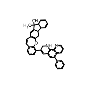 CC1(C)C2=CC3=C(CC2C2C=CC=CC21)Oc1c(cccc1C1=Cc2cc(-c4ccccc4)c4cccnc4c2NC1)C=C3